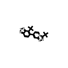 CC(C)(C)c1c(-c2ccn3c(C(C)(C)C)nnc3c2)ccc2nsnc12